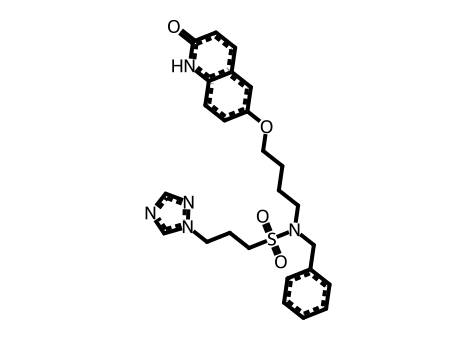 O=c1ccc2cc(OCCCCN(Cc3ccccc3)S(=O)(=O)CCCn3cncn3)ccc2[nH]1